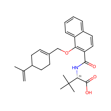 C=C(C)C1CC=C(COc2c(C(=O)N[C@H](C(=O)O)C(C)(C)C)ccc3ccccc23)CC1